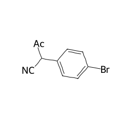 CC(=O)C(C#N)c1ccc(Br)cc1